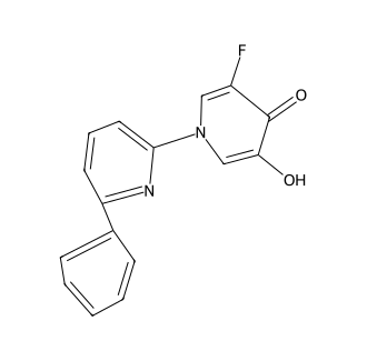 O=c1c(O)cn(-c2cccc(-c3ccccc3)n2)cc1F